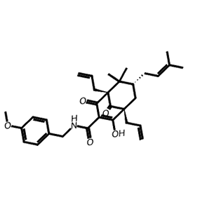 C=CC[C@@]12C[C@@H](CC=C(C)C)C(C)(C)[C@@](CC=C)(C(=O)C(C(=O)NCc3ccc(OC)cc3)=C1O)C2=O